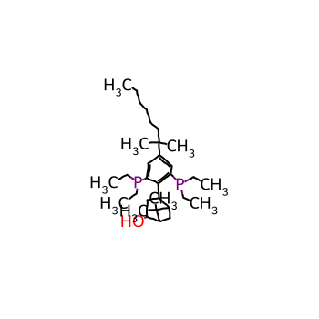 CCCCCCC(C)(C)c1cc(P(CC)CC)c(C2CC(O)C3CC2C3(C)C)c(P(CC)CC)c1